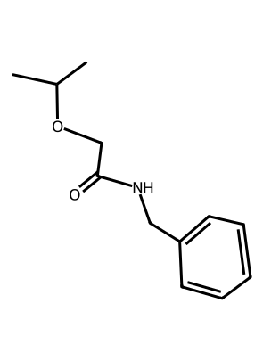 CC(C)OCC(=O)NCc1ccccc1